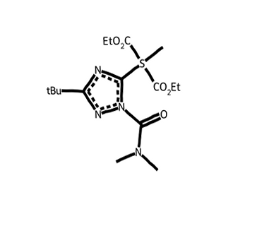 CCOC(=O)S(C)(C(=O)OCC)c1nc(C(C)(C)C)nn1C(=O)N(C)C